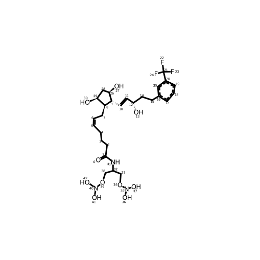 O=C(CCC/C=C\C[C@@H]1[C@@H](/C=C/[C@@H](O)CCc2cccc(C(F)(F)F)c2)[C@H](O)C[C@@H]1O)NC(CON(O)O)CON(O)O